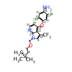 C[Si](C)(C)CCOCn1cc(C(F)(F)F)c2c(Oc3cc(F)c(N)cc3F)ccnc21